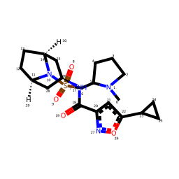 CN1CCCC1CS(=O)(=O)N1[C@@H]2CC[C@H]1C[C@@H](NC(=O)c1cc(C3CC3)on1)C2